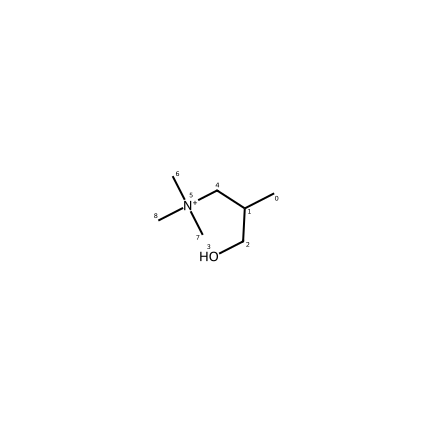 CC(CO)C[N+](C)(C)C